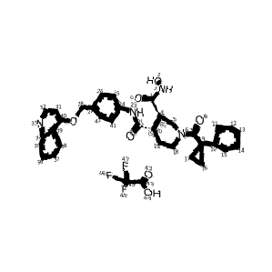 O=C(NO)[C@H]1CN(C(=O)C2(c3ccccc3)CC2)CC[C@@H]1C(=O)Nc1ccc(COc2ccnc3ccccc23)cc1.O=C(O)C(F)(F)F